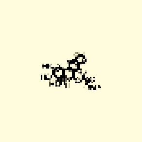 COC(=O)COc1c2c(cc3c1C(=O)N[C@@H]1C3=C[C@H](O)[C@@H](O)[C@H]1O)OCO2